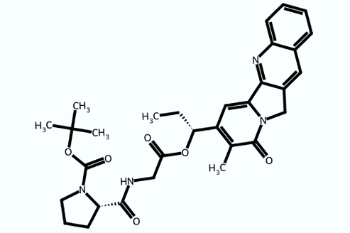 CC[C@@H](OC(=O)CNC(=O)[C@@H]1CCCN1C(=O)OC(C)(C)C)c1cc2n(c(=O)c1C)Cc1cc3ccccc3nc1-2